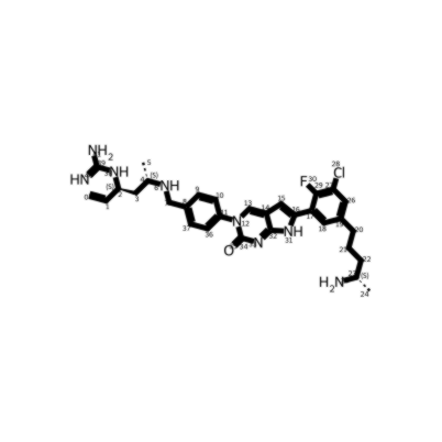 C=C[C@H](C[C@H](C)NCc1ccc(-n2cc3cc(-c4cc(CCC[C@H](C)N)cc(Cl)c4F)[nH]c3nc2=O)cc1)NC(=N)N